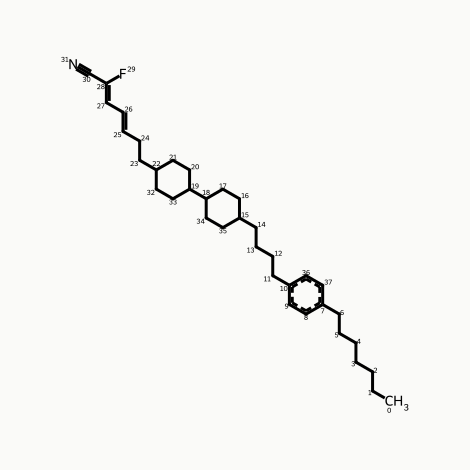 CCCCCCCc1ccc(CCCCC2CCC(C3CCC(CCC=CC=C(F)C#N)CC3)CC2)cc1